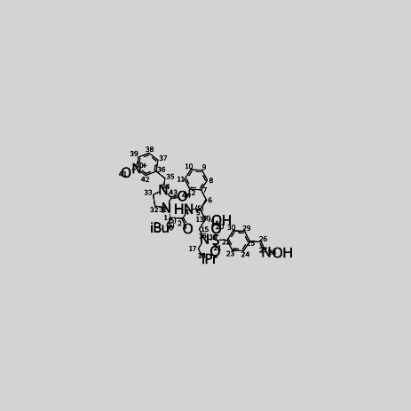 CC[C@H](C)[C@@H](C(=O)N[C@@H](Cc1ccccc1)[C@H](O)CN(CC(C)C)S(=O)(=O)c1ccc(C=NO)cc1)N1CCN(Cc2ccc[n+]([O-])c2)C1=O